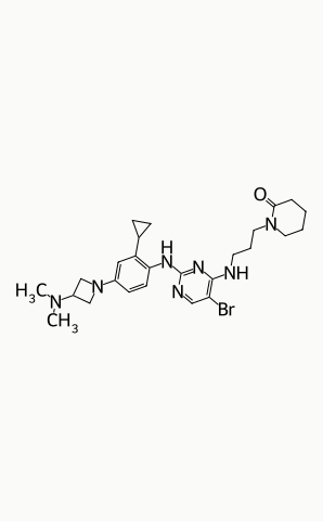 CN(C)C1CN(c2ccc(Nc3ncc(Br)c(NCCCN4CCCCC4=O)n3)c(C3CC3)c2)C1